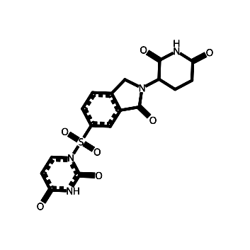 O=C1CCC(N2Cc3ccc(S(=O)(=O)n4ccc(=O)[nH]c4=O)cc3C2=O)C(=O)N1